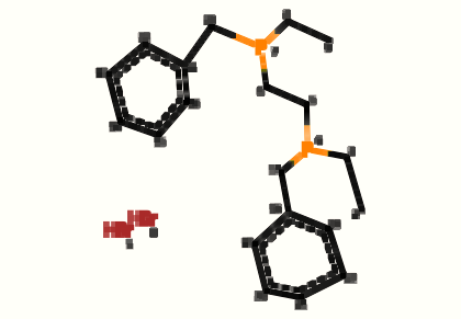 Br.Br.CCP(CCP(CC)Cc1ccccc1)Cc1ccccc1